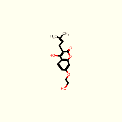 CC(C)=CCc1c(O)c2ccc(OCCO)cc2oc1=O